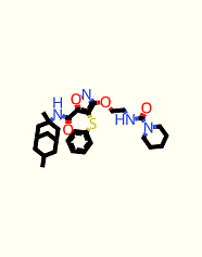 CC1CC2CC(C1)CC(C)(NC(=O)c1onc(OCCNC(=O)N3CCCCC3)c1Sc1ccccc1)C2